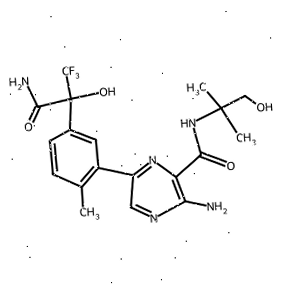 Cc1ccc(C(O)(C(N)=O)C(F)(F)F)cc1-c1cnc(N)c(C(=O)NC(C)(C)CO)n1